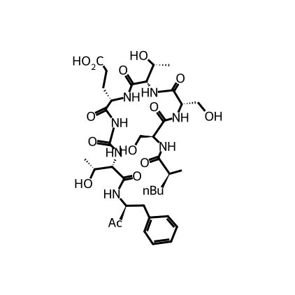 CCCC[C@H](C)C(=O)N[C@@H](CO)C(=O)N[C@@H](CO)C(=O)N[C@H](C(=O)N[C@@H](CCC(=O)O)C(=O)NC(=O)N[C@H](C(=O)N[C@@H](Cc1ccccc1)C(C)=O)[C@@H](C)O)[C@@H](C)O